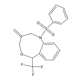 C=C1COC(C(F)(F)F)c2ccccc2N(S(=O)(=O)c2ccccc2)C1